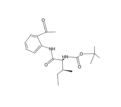 CC[C@H](C)[C@H](NC(=O)OC(C)(C)C)C(=O)Nc1ccccc1C(C)=O